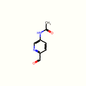 CC(=O)Nc1ccc(C=O)nc1